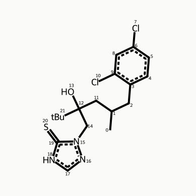 CC(Cc1ccc(Cl)cc1Cl)CC(O)(Cn1nc[nH]c1=S)C(C)(C)C